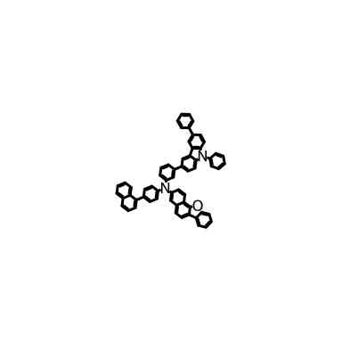 c1ccc(-c2ccc3c(c2)c2cc(-c4cccc(N(c5ccc(-c6cccc7ccccc67)cc5)c5ccc6c(ccc7c8ccccc8oc67)c5)c4)ccc2n3-c2ccccc2)cc1